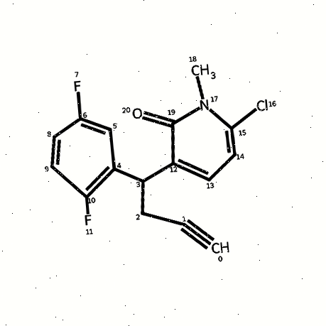 C#CCC(c1cc(F)ccc1F)c1ccc(Cl)n(C)c1=O